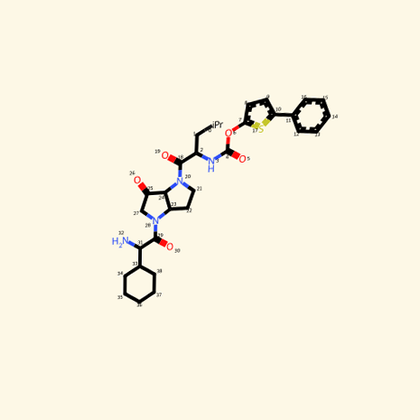 CC(C)CC(NC(=O)Oc1ccc(-c2ccccc2)s1)C(=O)N1CCC2C1C(=O)CN2C(=O)C(N)C1CCCCC1